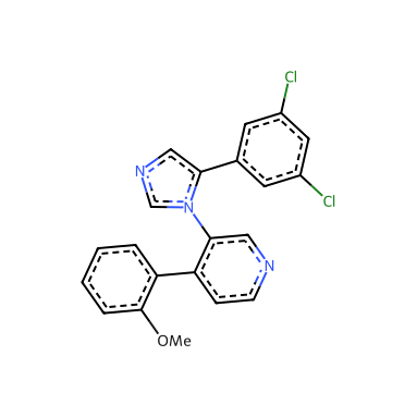 COc1ccccc1-c1ccncc1-n1cncc1-c1cc(Cl)cc(Cl)c1